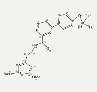 [2H]C([2H])([2H])Oc1ccc(-c2cncc(C(=O)NCCc3cc(OC)cc(OC)c3)n2)cc1